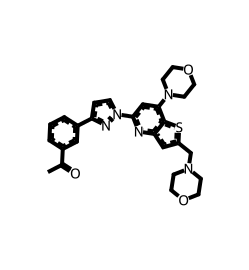 CC(=O)c1cccc(-c2ccn(-c3cc(N4CCOCC4)c4sc(CN5CCOCC5)cc4n3)n2)c1